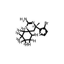 [2H]C1C([2H])([2H])C([2H])([2H])C([2H])([2H])C([2H])([2H])C12C[C@@](C)(c1sccc1Br)N=C(N)S2